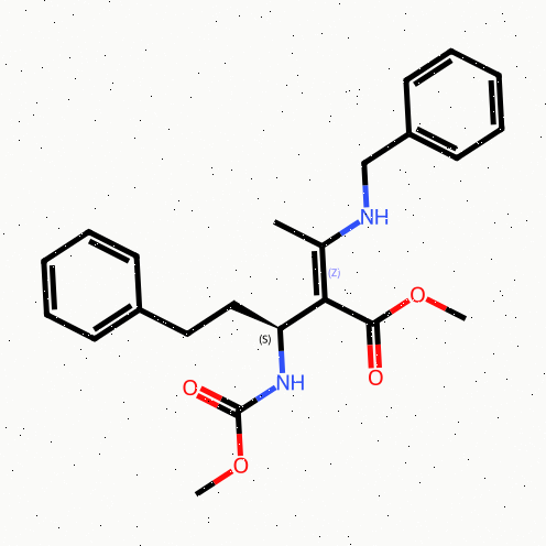 COC(=O)N[C@@H](CCc1ccccc1)/C(C(=O)OC)=C(\C)NCc1ccccc1